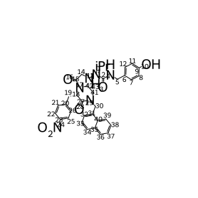 CC(C)N(C(=O)NCc1ccc(O)cc1)N1CC(=O)N2[C@@H](Cc3ccc([N+](=O)[O-])cc3)C(=O)N(Cc3cccc4ccccc34)C[C@@H]21